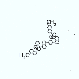 C=Cc1ccc2cc(C(=O)OC3c4cc(-c5ccc6c7c(cccc57)C(OC(=O)c5cccc7c(C=C)cccc57)c5ccccc5-6)ccc4-c4cccc5cccc3c45)ccc2c1